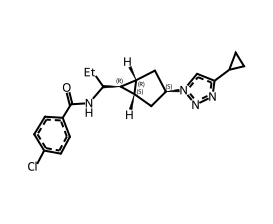 CCC(NC(=O)c1ccc(Cl)cc1)[C@H]1[C@@H]2C[C@@H](n3cc(C4CC4)nn3)C[C@@H]21